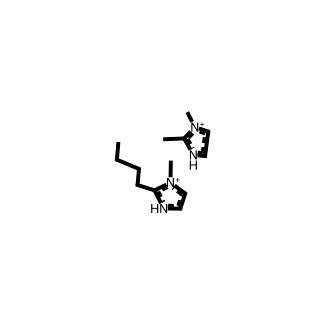 CCCCc1[nH]cc[n+]1C.Cc1[nH]cc[n+]1C